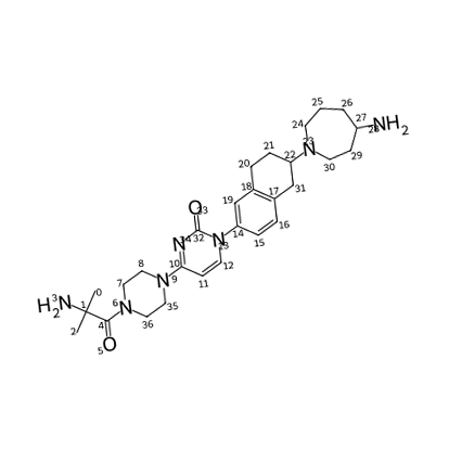 CC(C)(N)C(=O)N1CCN(c2ccn(-c3ccc4c(c3)CCC(N3CCCC(N)CC3)C4)c(=O)n2)CC1